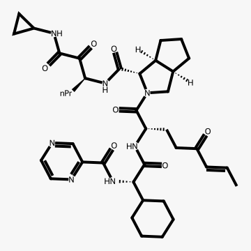 C/C=C/C(=O)CC[C@H](NC(=O)[C@@H](NC(=O)c1cnccn1)C1CCCCC1)C(=O)N1C[C@@H]2CCC[C@@H]2[C@H]1C(=O)N[C@@H](CCC)C(=O)C(=O)NC1CC1